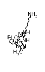 COC(=N)/C(=C\NCCCCCCCN)Nc1nc(N2CC[C@H](F)C2)nc2c1ncn2C